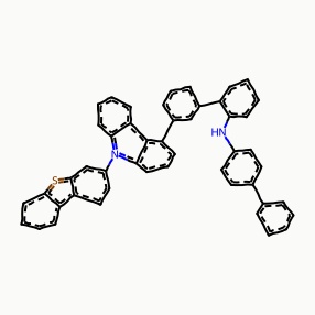 c1ccc(-c2ccc(Nc3ccccc3-c3cccc(-c4cccc5c4c4ccccc4n5-c4ccc5c(c4)sc4ccccc45)c3)cc2)cc1